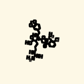 Cc1c(Cl)cccc1S(=O)(=O)CC(=O)N(NCc1ccc2c(c1)OCO2)[C@@H](CCCNC(=N)N)C(=O)O